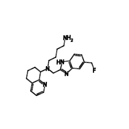 NCCCCN(Cc1nc2cc(CF)ccc2[nH]1)C1CCCc2cccnc21